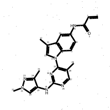 C=CC(=O)Nc1ccc2c(c1)c(C)cn2-c1nc(Nc2cn(C)nc2C)ncc1C